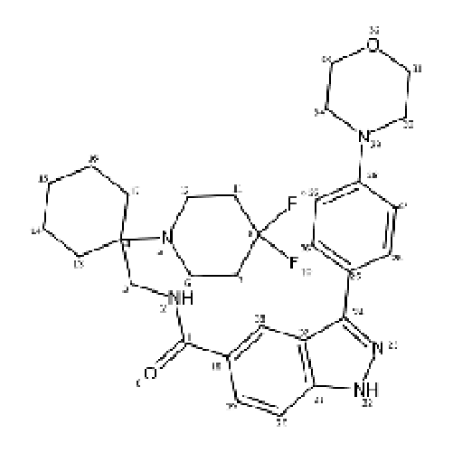 O=C(NCC1(N2CCC(F)(F)CC2)CCCCC1)c1ccc2[nH]nc(-c3ccc(N4CCOCC4)cc3)c2c1